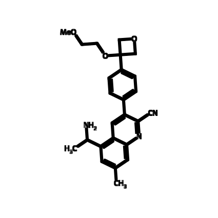 COCCOC1(c2ccc(-c3cc4c(C(C)N)cc(C)cc4nc3C#N)cc2)COC1